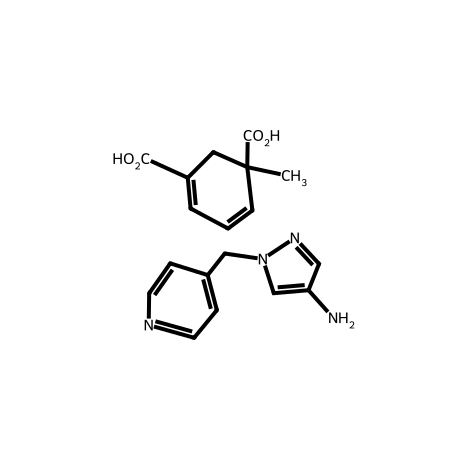 CC1(C(=O)O)C=CC=C(C(=O)O)C1.Nc1cnn(Cc2ccncc2)c1